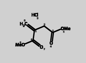 C=C(CC(=O)OC)C(=O)OC.Cl